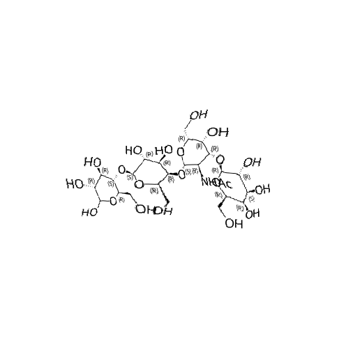 CC(=O)N[C@H]1[C@H](O[C@@H]2[C@H](O)[C@@H](O)[C@H](O[C@H]3[C@H](O)[C@@H](O)C(O)O[C@@H]3CO)O[C@@H]2CO)O[C@H](CO)[C@H](O)[C@@H]1O[C@@H]1O[C@H](CO)[C@H](O)[C@H](O)[C@H]1O